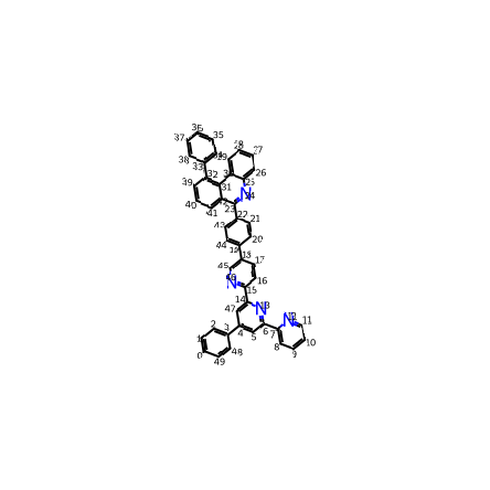 c1ccc(-c2cc(-c3ccccn3)nc(-c3ccc(-c4ccc(-c5nc6ccccc6c6c(-c7ccccc7)cccc56)cc4)cn3)c2)cc1